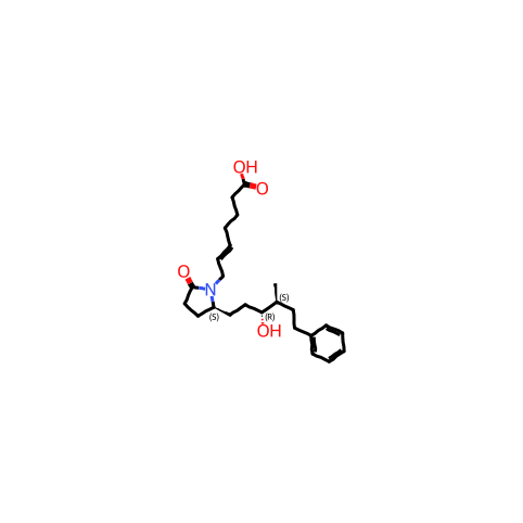 C[C@@H](CCc1ccccc1)[C@H](O)CC[C@H]1CCC(=O)N1CC=CCCCC(=O)O